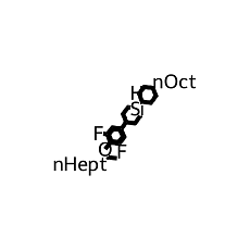 CCCCCCCC[C@H]1CC[C@H]([SiH]2CCC(c3cc(F)c(O[C@@H](C)CCCCCCC)c(F)c3)CC2)CC1